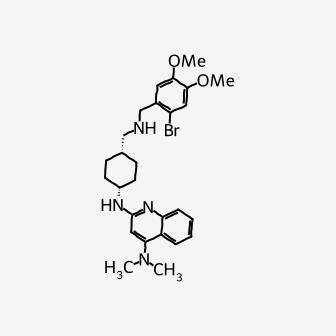 COc1cc(Br)c(CNC[C@H]2CC[C@@H](Nc3cc(N(C)C)c4ccccc4n3)CC2)cc1OC